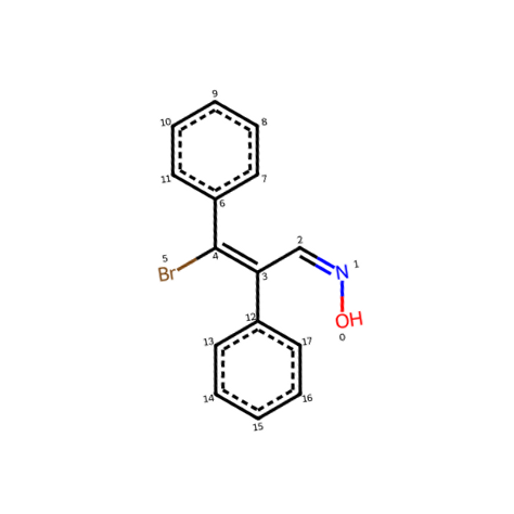 O/N=C\C(=C(\Br)c1ccccc1)c1ccccc1